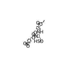 C=CCOC(=O)c1ccc(NC(=O)[C@@H]2C[C@@H](CC(=O)S)CN2C(=O)OCc2ccc([N+](=O)[O-])cc2)s1